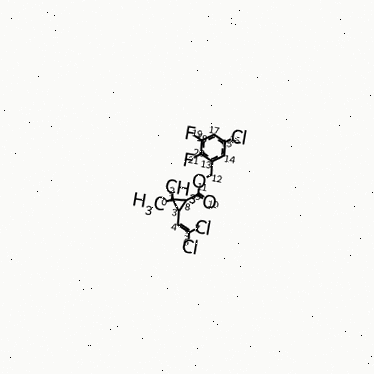 CC1(C)C(C=C(Cl)Cl)C1C(=O)OCc1cc(Cl)cc(F)c1F